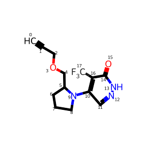 C#CCOCC1CCCN1c1cn[nH]c(=O)c1C(F)(F)F